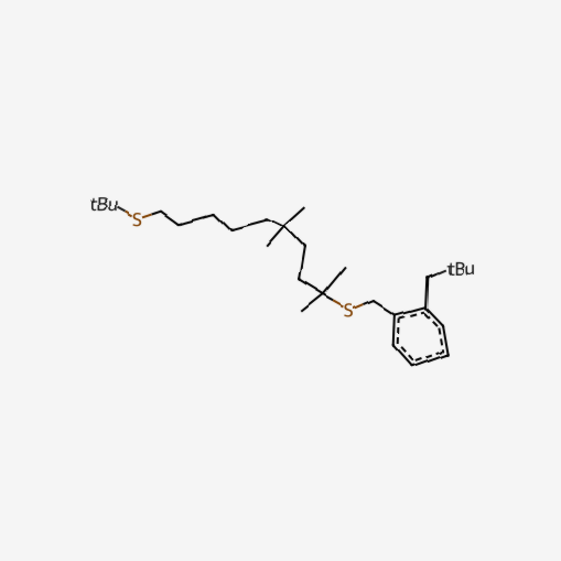 CC(C)(C)Cc1ccccc1CSC(C)(C)CCC(C)(C)CCCCCSC(C)(C)C